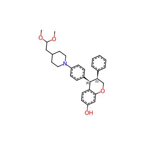 COC(CC1CCN(c2ccc([C@@H]3c4ccc(O)cc4OC[C@@H]3c3ccccc3)cc2)CC1)OC